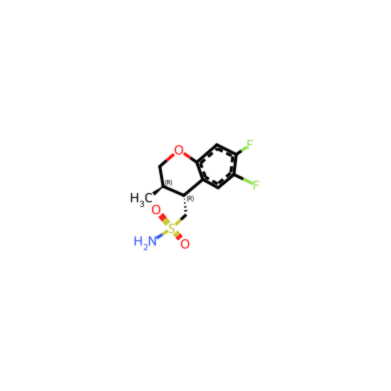 C[C@H]1COc2cc(F)c(F)cc2[C@@H]1CS(N)(=O)=O